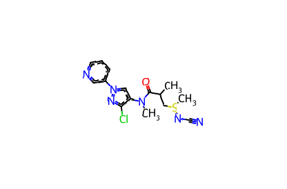 CC(C/S(C)=N/C#N)C(=O)N(C)c1cn(-c2cccnc2)nc1Cl